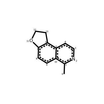 Cc1nccc2c3c(ccc12)OCC3